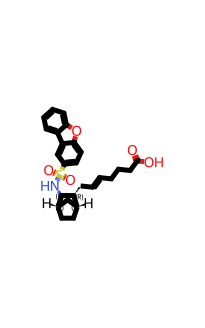 O=C(O)CCCC=CC[C@@H]1[C@H]2CC[C@H](C2)[C@H]1NS(=O)(=O)c1ccc2oc3ccccc3c2c1